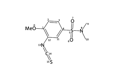 COc1ccc(S(=O)(=O)N(C)C)cc1N=C=S